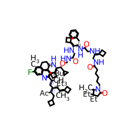 C=C1N(CCCCCC(=O)NCC(NCC(=O)N[C@@H](Cc2ccccc2)C(NCC(=O)NCOC(C(N[C@H]2CCc3c(C)c(F)cc4nc(/C(C)=C/C(=C(/CC5CCC5)C(C)=O)[C@@H](CC)C(C)=C5CCC5)c(CCCC)c2c34)=C2CCC2)C2CC2)=C2CCC2)=C2CCC2)C(=O)CC1(CC)CC